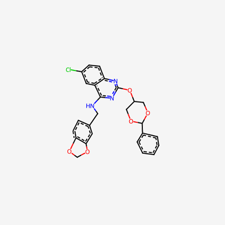 Clc1ccc2nc(OC3COC(c4ccccc4)OC3)nc(NCc3ccc4c(c3)OCO4)c2c1